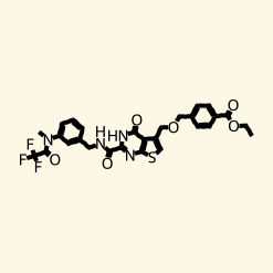 CCOC(=O)c1ccc(COCc2csc3nc(C(=O)NCc4cccc(N(C)C(=O)C(F)(F)F)c4)[nH]c(=O)c23)cc1